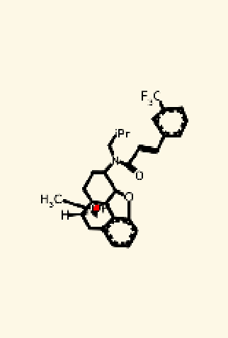 CC(C)CN(C(=O)/C=C/c1cccc(C(F)(F)F)c1)C1CC[C@@]2(O)[C@H]3Cc4cccc5c4[C@@]2(CCN3C)C1O5